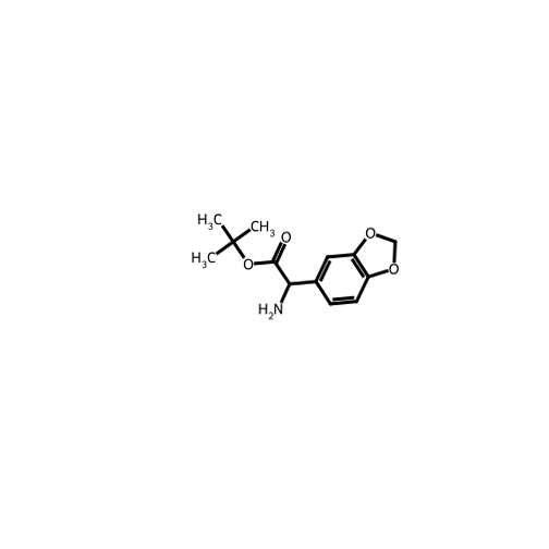 CC(C)(C)OC(=O)C(N)c1ccc2c(c1)OCO2